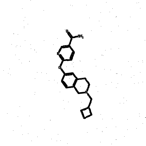 NC(=O)c1ccc(Oc2ccc3c(c2)CCN(CC2CCC2)C3)nc1